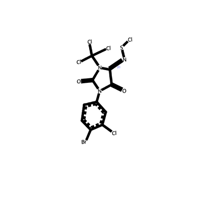 O=C1/C(=N/SCl)N(C(Cl)(Cl)Cl)C(=O)N1c1ccc(Br)c(Cl)c1